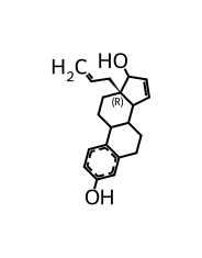 C=CC[C@]12CCC3c4ccc(O)cc4CCC3C1C=CC2O